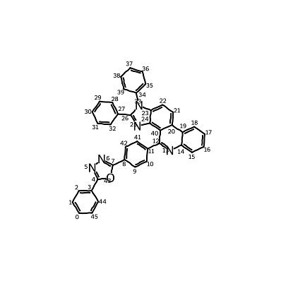 c1ccc(-c2nnc(-c3ccc(-c4nc5ccccc5c5ccc6c(nc(-c7ccccc7)n6-c6ccccc6)c45)cc3)o2)cc1